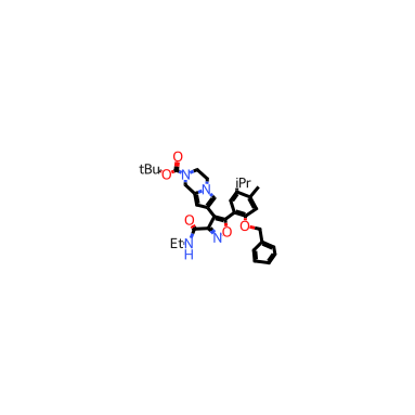 CCNC(=O)c1noc(-c2cc(C(C)C)c(C)cc2OCc2ccccc2)c1-c1cc2n(c1)CCN(C(=O)OC(C)(C)C)C2